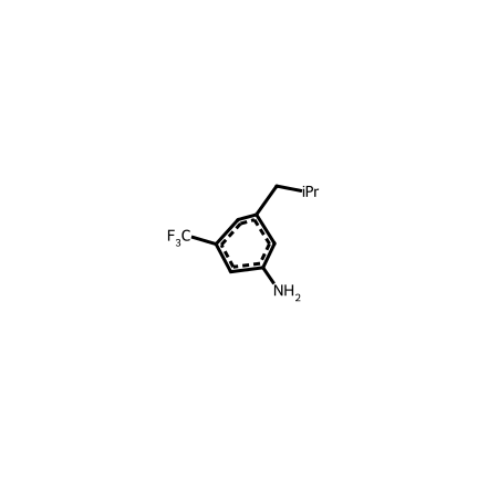 CC(C)Cc1cc(N)cc(C(F)(F)F)c1